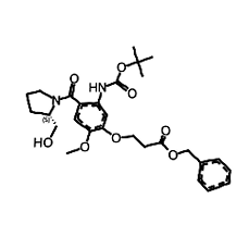 COc1cc(C(=O)N2CCC[C@H]2CO)c(NC(=O)OC(C)(C)C)cc1OCCC(=O)OCc1ccccc1